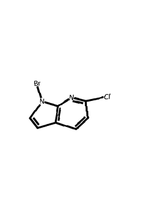 Clc1ccc2ccn(Br)c2n1